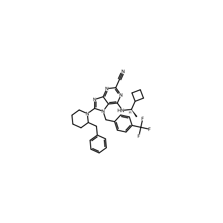 C[C@@H](Nc1nc(C#N)nc2nc(N3CCCCC3Cc3ccccc3)n(Cc3ccc(C(F)(F)F)cc3)c12)C1CCC1